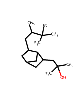 CCC(C)(C(C)CC1CC2CC(CC(C)(O)C(F)(F)F)C1C2)C(F)(F)F